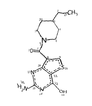 CCC1CCN(C(=O)c2csc3c(O)nc(N)nc23)CC1